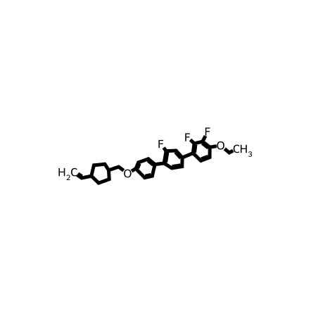 C=CC1CCC(COc2ccc(-c3ccc(-c4ccc(OCC)c(F)c4F)cc3F)cc2)CC1